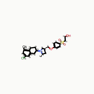 C[C@@H]1C[C@H](COc2ccc(S(=O)(=O)CCO)cc2)CN1C1CCc2c(C#N)cc(Cl)cc2C1